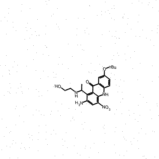 CCCCOc1ccc2[nH]c3c([N+](=O)[O-])cc(N)c(C(C)NCCO)c3c(=O)c2c1